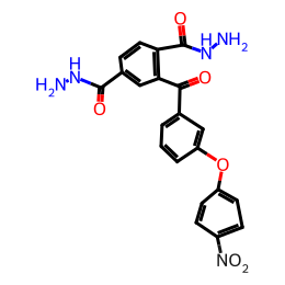 NNC(=O)c1ccc(C(=O)NN)c(C(=O)c2cccc(Oc3ccc([N+](=O)[O-])cc3)c2)c1